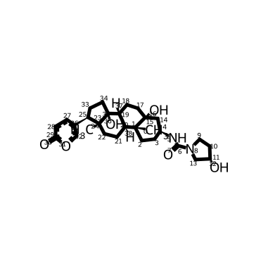 C[C@]12CC[C@H](NC(=O)N3CC[C@H](O)C3)C[C@@]1(O)CC[C@@H]1[C@@H]2CC[C@]2(C)[C@@H](c3ccc(=O)oc3)CC[C@]12O